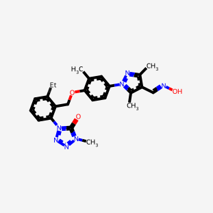 CCc1cccc(-n2nnn(C)c2=O)c1COc1ccc(-n2nc(C)c(/C=N/O)c2C)cc1C